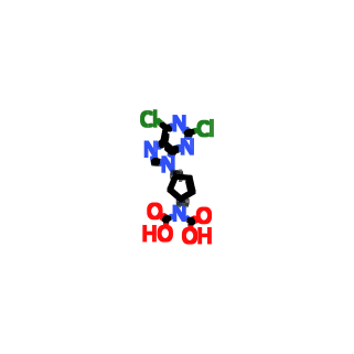 O=C(O)N(C(=O)O)[C@@H]1C=C[C@H](n2cnc3c(Cl)nc(Cl)nc32)C1